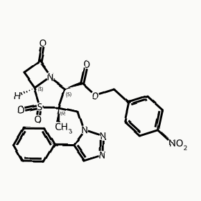 C[C@]1(Cn2nncc2-c2ccccc2)[C@H](C(=O)OCc2ccc([N+](=O)[O-])cc2)N2C(=O)C[C@@H]2S1(=O)=O